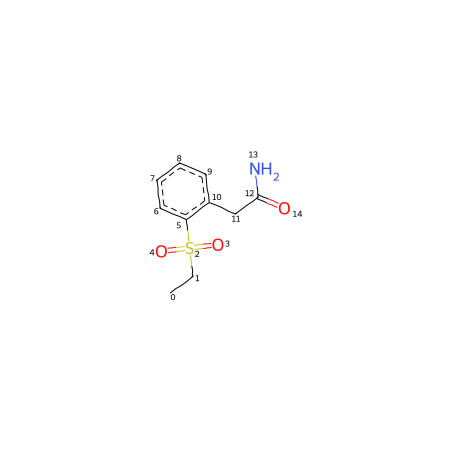 CCS(=O)(=O)c1ccccc1CC(N)=O